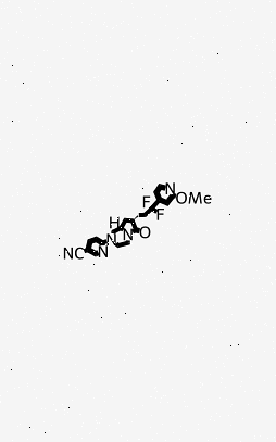 COc1cc(C(F)(F)CC[C@H]2C[C@H]3CN(c4ccc(C#N)cn4)CCN3C2=O)ccn1